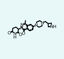 Cc1nn(C2CCC(=O)NC2=O)c(=O)c2ccc(N3CCN(CC4CNC4)CC3)cc12